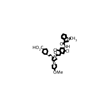 COC1CCN([C@H]2C[C@@H](CC[C@H]3CC[C@@H](C(=O)O)CC3)N(C(=O)Cc3cc(Cl)c(NC(=O)c4cn(C)c5ccccc45)cc3Cl)C2)CC1